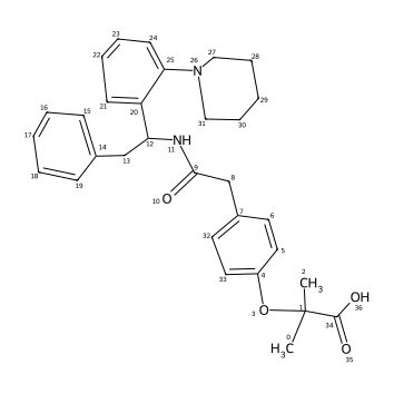 CC(C)(Oc1ccc(CC(=O)NC(Cc2ccccc2)c2ccccc2N2CCCCC2)cc1)C(=O)O